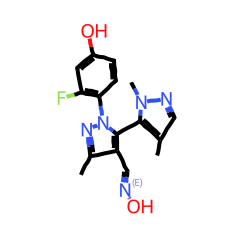 Cc1cnn(C)c1-c1c(/C=N/O)c(C)nn1-c1ccc(O)cc1F